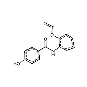 O=[C]Oc1ccccc1NC(=O)c1ccc(O)cc1